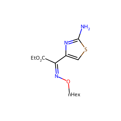 CCCCCCO/N=C(/C(=O)OCC)c1csc(N)n1